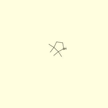 CC1(C)BCCC1(C)C